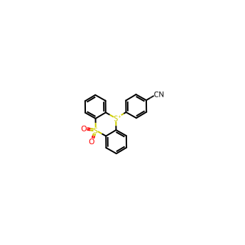 N#Cc1ccc([S+]2c3ccccc3S(=O)(=O)c3ccccc32)cc1